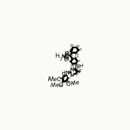 COc1cc(Nc2ncc(F)c(Nc3ccc(C(c4ccccc4)S(N)(=O)=O)cc3)n2)cc(OC)c1OC